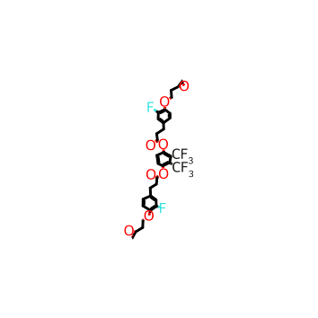 O=C(CCc1ccc(OCCC2CO2)c(F)c1)Oc1ccc(OC(=O)CCc2ccc(OCCC3CO3)c(F)c2)c(C(F)(F)F)c1C(F)(F)F